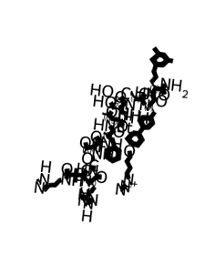 CCc1cc(OCCCCN=[N+]=[N-])ccc1-c1ccc(C[C@H](NC(=O)[C@H](CC(=O)O)NC(=O)[C@H](CO)NC(=O)[C@@H](NC(=O)[C@](C)(Cc2ccccc2F)NC(=O)[C@@H](NC(=O)CNC(=O)[C@H](Cc2nn[nH]n2)NC(=O)C(C)(C)C(=O)NCCc2cnc[nH]2)[C@@H](C)O)[C@@H](C)O)C(=O)N[C@@H](CCCc2cc(C)cc(C)c2)C(N)=O)cc1